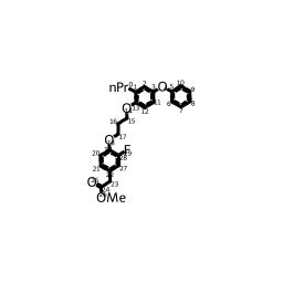 CCCc1cc(Oc2ccccc2)ccc1OCCCOc1ccc(CC(=O)OC)cc1F